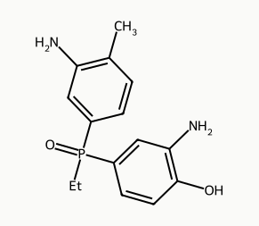 CCP(=O)(c1ccc(C)c(N)c1)c1ccc(O)c(N)c1